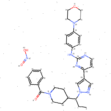 CCC(C1CCN(C(=O)c2ccccc2)CC1)n1cc(-c2ccnc(Nc3ccc(N4CCOCC4)cc3)n2)cn1.O=NO